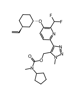 C=C[C@H]1CCC[C@H](Oc2ccc(-c3nnn(C)c3COC(=O)N(C)C3CCCC3)nc2C(F)F)C1